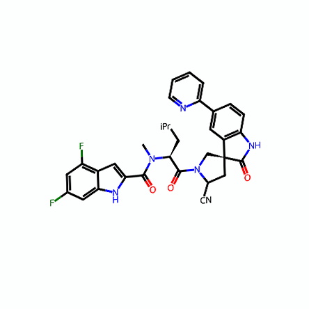 CC(C)C[C@@H](C(=O)N1C[C@]2(CC1C#N)C(=O)Nc1ccc(-c3ccccn3)cc12)N(C)C(=O)c1cc2c(F)cc(F)cc2[nH]1